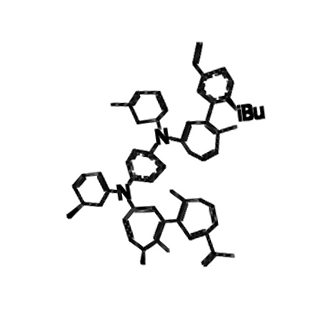 C=Cc1ccc([C@H](C)CC)c(C2=C(C)C=CCC(N(c3ccc(N(C4=CC(C5=C(C)CC=CC(C(=C)C)=C5)=C(C)[C@@H](C)C=C4)C4=CC=C[C@H](C)C4)cc3)C3C=CC=C(C)C3)=C2)c1